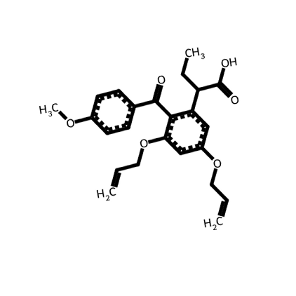 C=CCOc1cc(OCC=C)c(C(=O)c2ccc(OC)cc2)c(C(CC)C(=O)O)c1